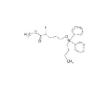 CCCC[Si](OCCCC(F)C(=O)OC)(c1ccccc1)c1ccccc1